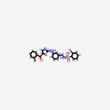 Cc1ccccc1C(=O)c1cnc(Nc2cccc(CNS(=O)(=O)c3ccccc3C)c2)s1